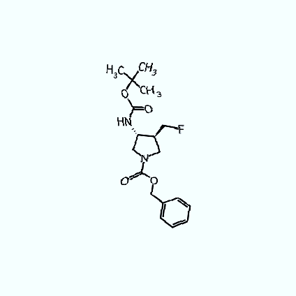 CC(C)(C)OC(=O)N[C@H]1CN(C(=O)OCc2ccccc2)C[C@@H]1CF